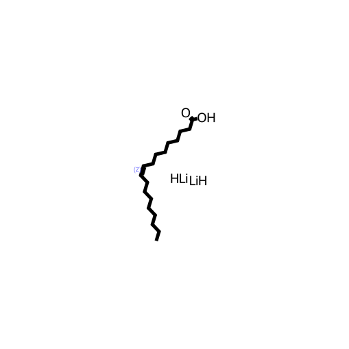 CCCCCCCC/C=C\CCCCCCCC(=O)O.[LiH].[LiH]